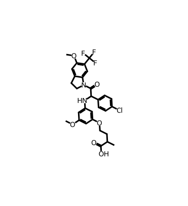 COc1cc(NC(C(=O)N2CCc3cc(OC)c(C(F)(F)F)cc32)c2ccc(Cl)cc2)cc(OCCC(C)C(=O)O)c1